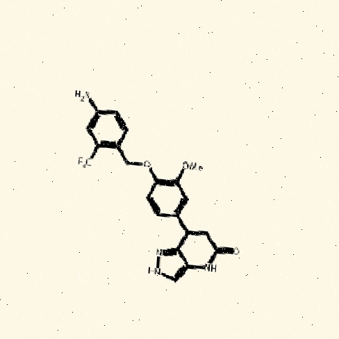 COc1cc(C2CC(=O)Nc3c[nH]nc32)ccc1OCc1ccc(N)cc1C(F)(F)F